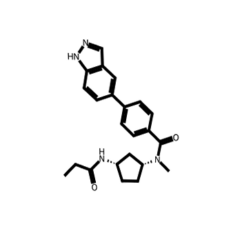 CCC(=O)N[C@H]1CC[C@@H](N(C)C(=O)c2ccc(-c3ccc4[nH]ncc4c3)cc2)C1